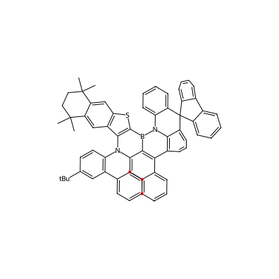 CC(C)(C)c1ccc(N2c3cc4ccccc4c4c3B(c3sc5cc6c(cc5c32)C(C)(C)CCC6(C)C)N2c3ccccc3C3(c5ccccc5-c5ccccc53)c3cccc-4c32)c(-c2ccccc2)c1